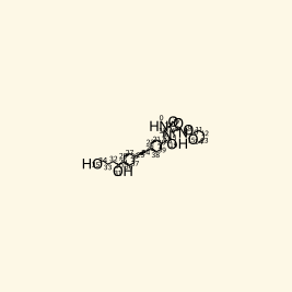 CNC(=O)C(C)(C(=O)NOC1CCCCO1)N(C)C(=O)c1ccc(C#Cc2ccc(C(O)CCCO)cc2)cc1